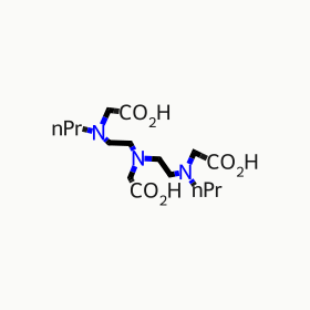 CCCN(CCN(CCN(CCC)CC(=O)O)CC(=O)O)CC(=O)O